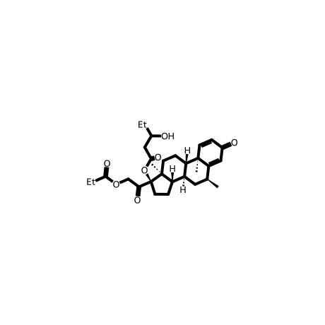 CCC(=O)OCC(=O)[C@@]1(OC(=O)CC(O)CC)CC[C@H]2[C@@H]3C[C@H](C)C4=CC(=O)C=C[C@]4(C)[C@H]3CC[C@@]21C